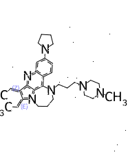 C/C=c1\c(=C/C)n2c3c(c4ccc(N5CCCC5)cc4nc13)N(CCCN1CCN(C)CC1)CCC2